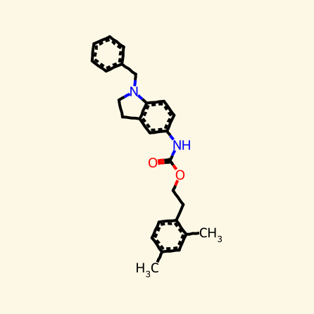 Cc1ccc(CCOC(=O)Nc2ccc3c(c2)CCN3Cc2ccccc2)c(C)c1